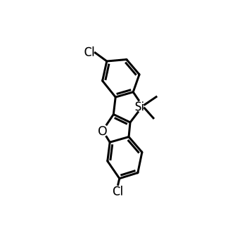 C[Si]1(C)c2ccc(Cl)cc2-c2oc3cc(Cl)ccc3c21